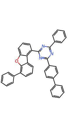 c1ccc(-c2ccc(-c3nc(-c4ccccc4)nc(-c4cccc5oc6c(-c7ccccc7)cccc6c45)n3)cc2)cc1